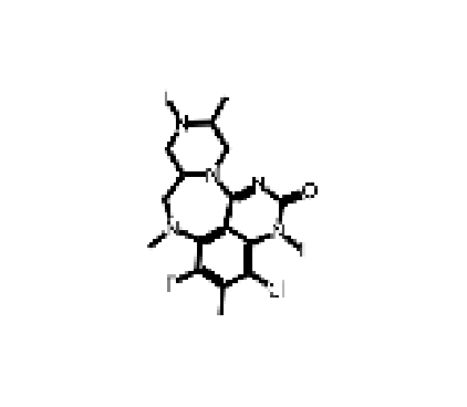 Cc1c(F)c2c3c(nc(=O)n(I)c3c1Cl)N1CC(C)N(I)CC1CN2C